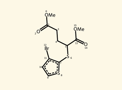 COC(=O)CCC(Sc1sccc1Br)C(=O)OC